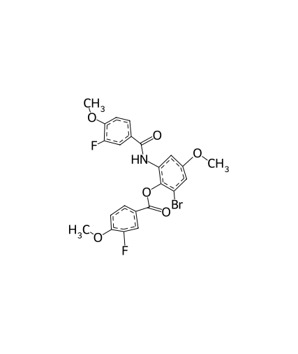 COc1cc(Br)c(OC(=O)c2ccc(OC)c(F)c2)c(NC(=O)c2ccc(OC)c(F)c2)c1